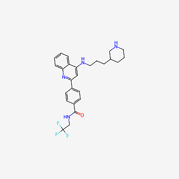 O=C(NCC(F)(F)F)c1ccc(-c2cc(NCCCC3CCCNC3)c3ccccc3n2)cc1